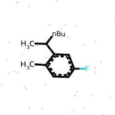 CCCCC(C)c1cc(F)ccc1C